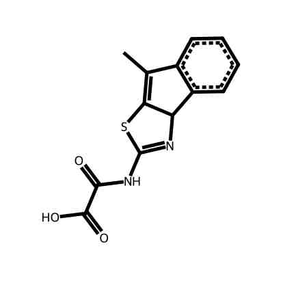 CC1=C2SC(NC(=O)C(=O)O)=NC2c2ccccc21